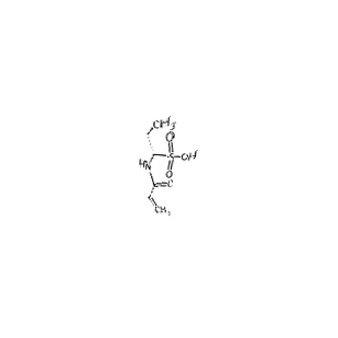 C=CC(=O)N[C@H](CC)S(=O)(=O)O